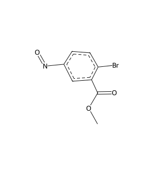 COC(=O)c1cc(N=O)ccc1Br